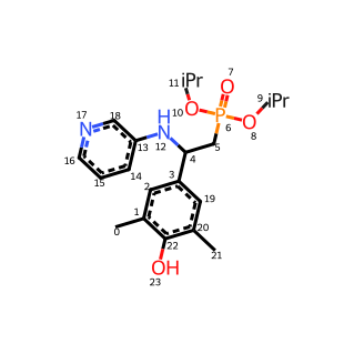 Cc1cc(C(CP(=O)(OC(C)C)OC(C)C)Nc2cccnc2)cc(C)c1O